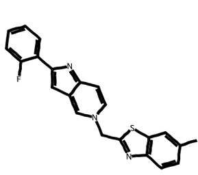 Cc1ccc2nc(Cn3ccc4nc(-c5ccccc5F)cc-4c3)sc2c1